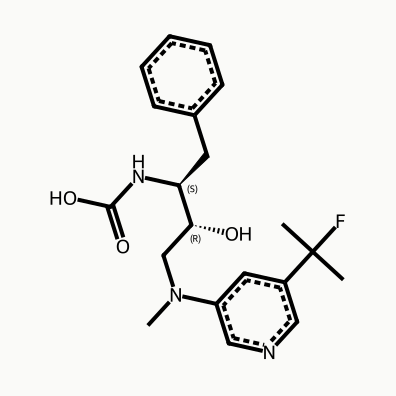 CN(C[C@@H](O)[C@H](Cc1ccccc1)NC(=O)O)c1cncc(C(C)(C)F)c1